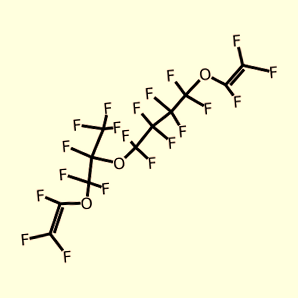 FC(F)=C(F)OC(F)(F)C(F)(F)C(F)(F)C(F)(F)OC(F)(C(F)(F)F)C(F)(F)OC(F)=C(F)F